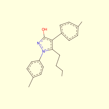 CCCCc1c(-c2ccc(C)cc2)c(O)nn1-c1ccc(C)cc1